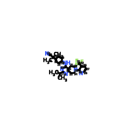 CC(C)c1nc2c(c(Nc3ccc(C(C)(C)C#N)cc3)n1)CCN(c1ncccc1C(F)(F)F)CC2